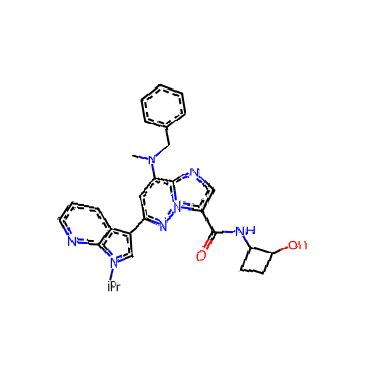 CC(C)n1cc(-c2cc(N(C)Cc3ccccc3)c3ncc(C(=O)NC4CCC4O)n3n2)c2cccnc21